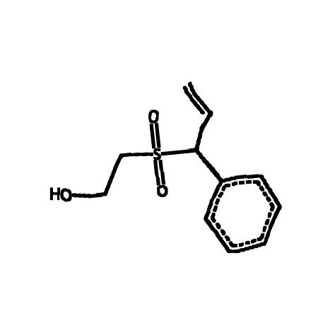 C=CC(c1ccccc1)S(=O)(=O)CCO